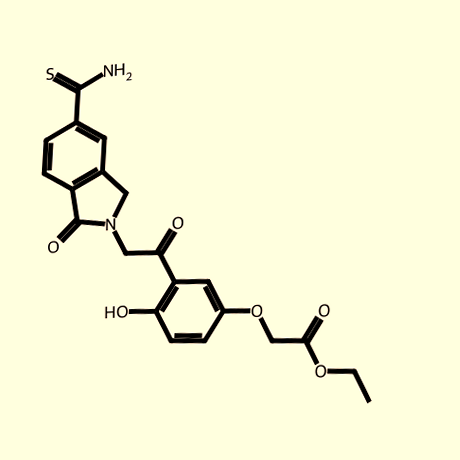 CCOC(=O)COc1ccc(O)c(C(=O)CN2Cc3cc(C(N)=S)ccc3C2=O)c1